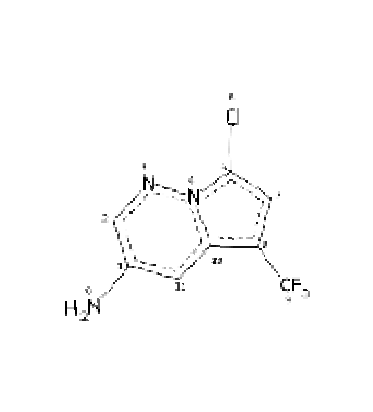 Nc1cnn2c(Cl)cc(C(F)(F)F)c2c1